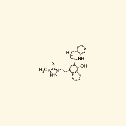 Cc1ccccc1NC(=O)c1cc(CCn2nnn(C)c2=S)c2ccccc2c1O